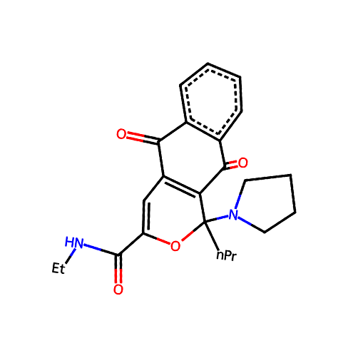 CCCC1(N2CCCC2)OC(C(=O)NCC)=CC2=C1C(=O)c1ccccc1C2=O